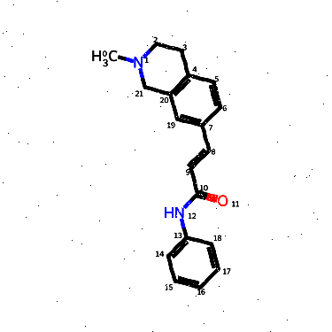 CN1CCc2ccc(C=CC(=O)Nc3ccccc3)cc2C1